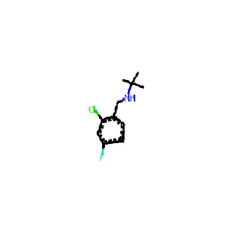 CC(C)(C)NCc1ccc(F)cc1Cl